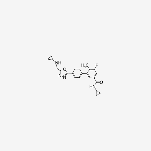 Cc1c(F)cc(C(=O)NC2CC2)cc1-c1ccc(-c2nnc(CNC3CC3)o2)cc1